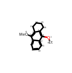 CCOc1c2c(c(OC)c3ccccc13)CCCC2